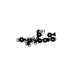 O=C(NS(=O)(=O)c1cnc(NCC2CC[S+]([O-])CC2)c([N+](=O)[O-])c1)c1ccc(N2CCC3(CC2)CC(N2CCOC[C@H]2c2ccccc2C2CC2)C3)cc1Oc1cnc2[nH]ccc2c1